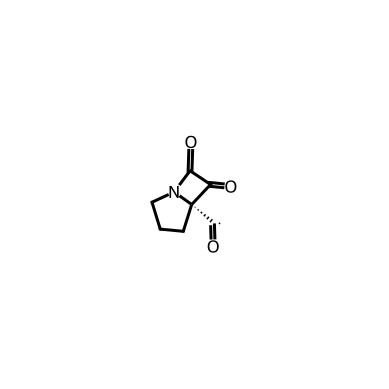 O=[C][C@]12CCCN1C(=O)C2=O